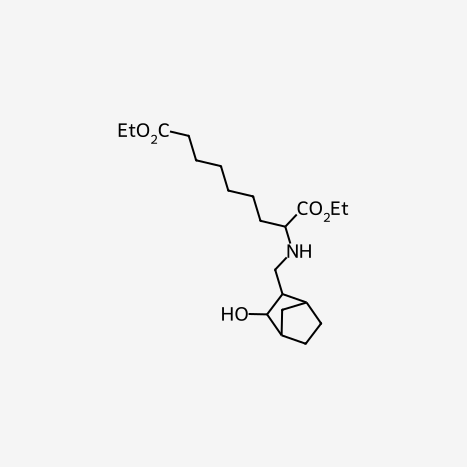 CCOC(=O)CCCCCCC(NCC1C2CCC(C2)C1O)C(=O)OCC